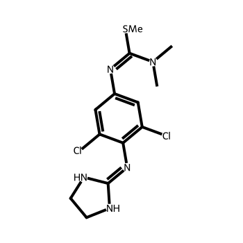 CSC(=Nc1cc(Cl)c(N=C2NCCN2)c(Cl)c1)N(C)C